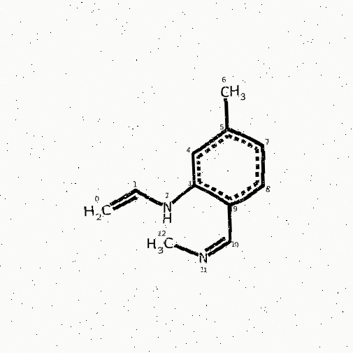 C=CNc1cc(C)ccc1/C=N\C